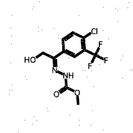 COC(=O)N/N=C(/CO)c1ccc(Cl)c(C(F)(F)F)c1